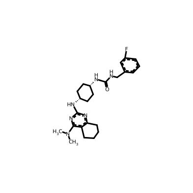 CN(C)c1nc(N[C@H]2CC[C@@H](NC(=O)NCc3cccc(F)c3)CC2)nc2c1CCCC2